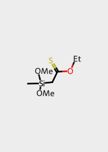 CCOC(=S)C[Si](C)(OC)OC